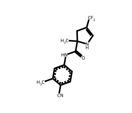 Cc1cc(NC(=O)C2(C)CC(C(F)(F)F)=CN2)ccc1C#N